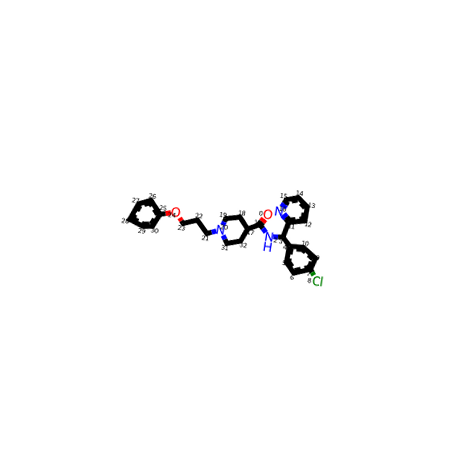 O=C(NC(c1ccc(Cl)cc1)c1ccccn1)C1CCN(CCCOc2ccccc2)CC1